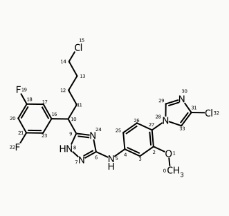 COc1cc(Nc2n[nH]c(C(CCCCCl)c3cc(F)cc(F)c3)n2)ccc1-n1cnc(Cl)c1